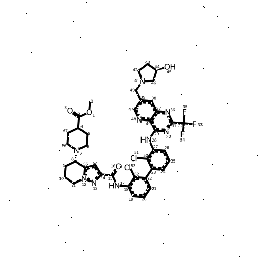 COC(=O)C1CCN([C@H]2CCCn3nc(C(=O)Nc4cccc(-c5cccc(Nc6nc(C(F)(F)F)nc7cc(CN8CC[C@@H](O)C8)cnc67)c5Cl)c4Cl)cc32)CC1